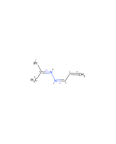 C=C/C=N\N=C(/C)C(C)C